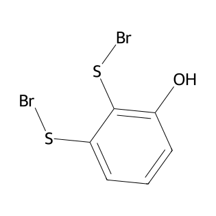 Oc1cccc(SBr)c1SBr